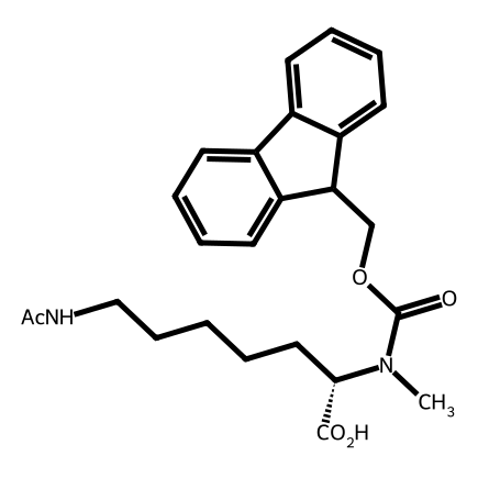 CC(=O)NCCCCC[C@@H](C(=O)O)N(C)C(=O)OCC1c2ccccc2-c2ccccc21